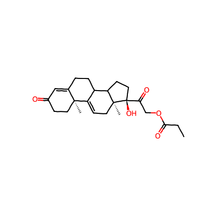 CCC(=O)OCC(=O)[C@@]1(O)CCC2C3CCC4=CC(=O)CC[C@]4(C)C3=CC[C@@]21C